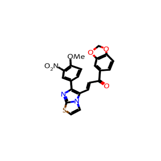 COc1ccc(-c2nc3sccn3c2C=CC(=O)c2ccc3c(c2)OCO3)cc1[N+](=O)[O-]